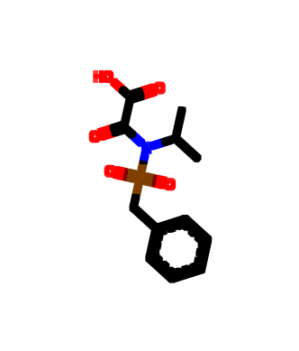 CC(C)N(C(=O)C(=O)O)S(=O)(=O)Cc1ccccc1